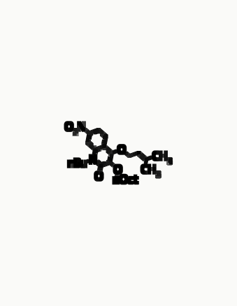 CCCCCCCCOc1c(OCC=C(C)C)c2ccc([N+](=O)[O-])cc2n(CCCC)c1=O